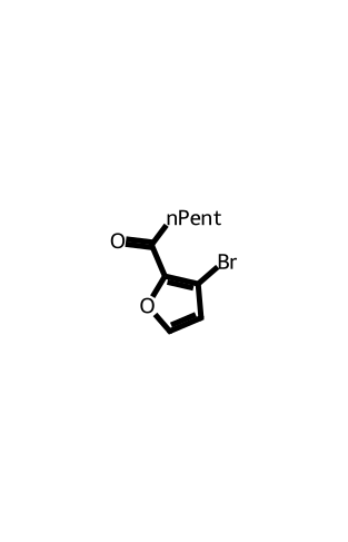 CCCCCC(=O)c1occc1Br